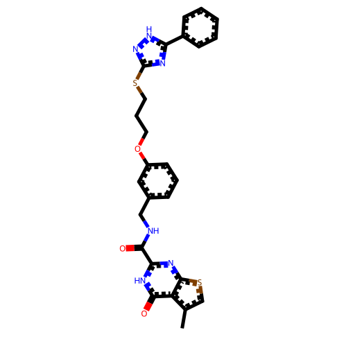 Cc1csc2nc(C(=O)NCc3cccc(OCCCSc4n[nH]c(-c5ccccc5)n4)c3)[nH]c(=O)c12